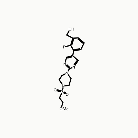 COCCS(=O)(=O)N1CCN(c2ncc(-c3cccc(CO)c3F)cn2)CC1